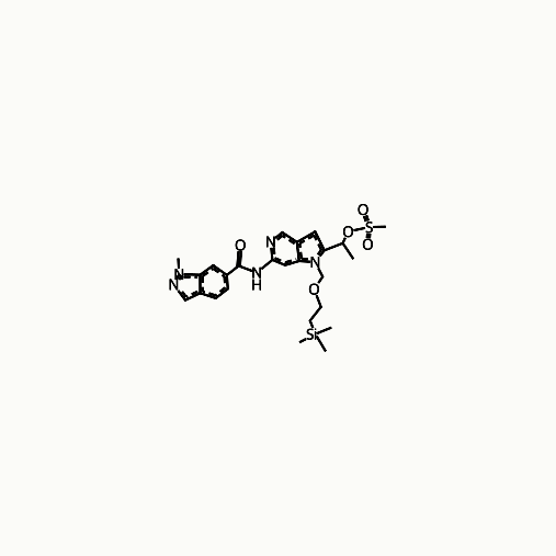 CC(OS(C)(=O)=O)c1cc2cnc(NC(=O)c3ccc4cnn(C)c4c3)cc2n1COCC[Si](C)(C)C